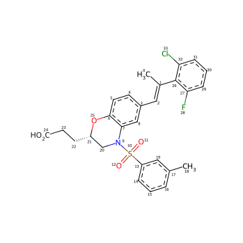 C/C(=C\c1ccc2c(c1)N(S(=O)(=O)c1cccc(C)c1)C[C@H](CCC(=O)O)O2)c1c(F)cccc1Cl